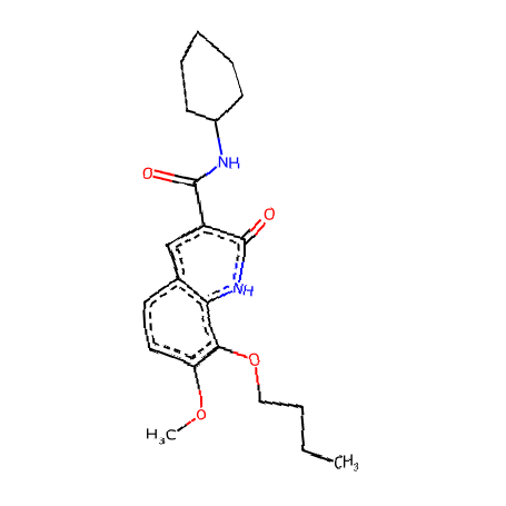 CCCCOc1c(OC)ccc2cc(C(=O)NC3CCCCC3)c(=O)[nH]c12